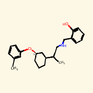 Cc1cccc(O[C@@H]2CCCC(C(C)CNCc3ccccc3O)C2)c1